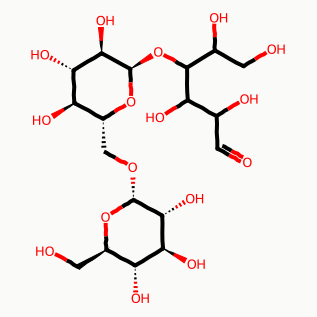 O=CC(O)C(O)C(O[C@H]1O[C@H](CO[C@H]2O[C@H](CO)[C@@H](O)[C@H](O)[C@H]2O)[C@@H](O)[C@H](O)[C@H]1O)C(O)CO